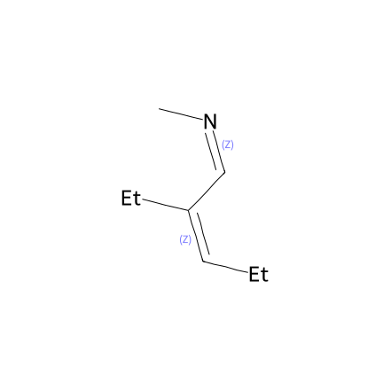 CC/C=C(\C=N/C)CC